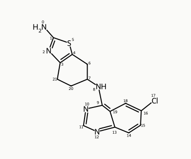 Nc1nc2c(s1)CC(Nc1ncnc3ccc(Cl)cc13)CC2